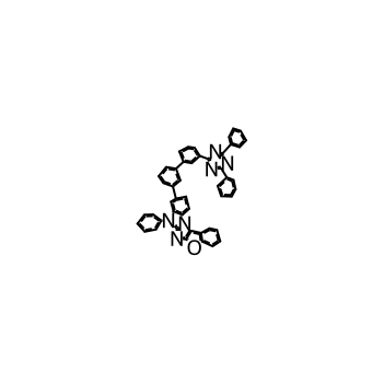 c1ccc(-c2nc(-c3ccccc3)nc(-c3cccc(-c4cccc(-c5ccc6c(c5)n(-c5ccccc5)c5nc7oc8ccccc8c7n65)c4)c3)n2)cc1